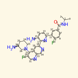 CC(C)NC(=O)c1ccc(F)c(-c2ccc(N)c(-c3cc4c(N5CCC[C@H](N)C5)c(F)cnc4cn3)n2)c1